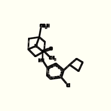 CC1CC2CC(C(=O)O)(C1)N2C(=O)Nc1ccc(Cl)c(C2CCC2)c1